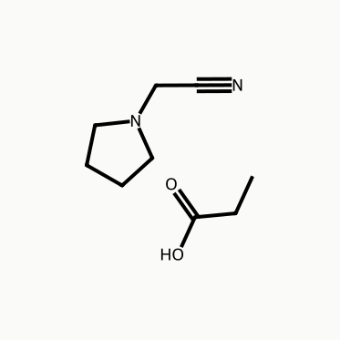 CCC(=O)O.N#CCN1CCCC1